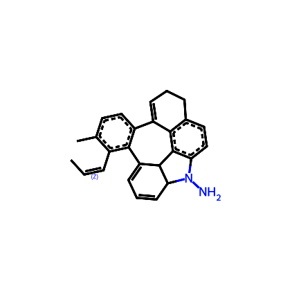 C/C=C\c1c(C)ccc2c1C1=CC=CC3C1c1c(ccc4c1C2=CCC4)N3N